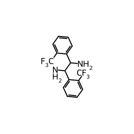 NC(c1ccccc1C(F)(F)F)C(N)c1ccccc1C(F)(F)F